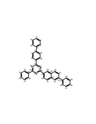 c1ccc(-c2ccc(-c3nc(-c4ccccc4)nc(-c4ccc5cc(-c6ccccc6)ccc5c4)n3)cc2)cc1